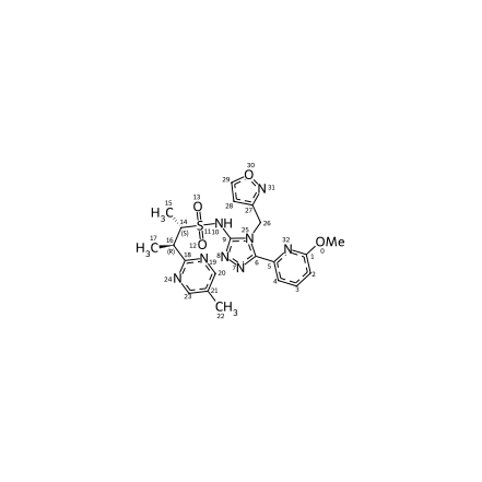 COc1cccc(-c2nnc(NS(=O)(=O)[C@@H](C)[C@H](C)c3ncc(C)cn3)n2Cc2ccon2)n1